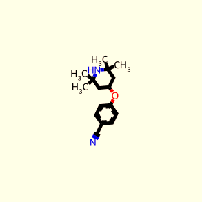 CC1(C)CC(Oc2ccc(C#N)cc2)CC(C)(C)N1